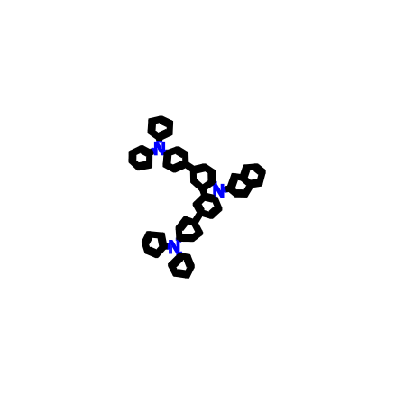 C1=CC(c2ccc3c(c2)C2CC(c4ccc(N(c5ccccc5)c5ccccc5)cc4)=CC=C2N3c2ccc3ccccc3c2)CC=C1N(c1ccccc1)c1ccccc1